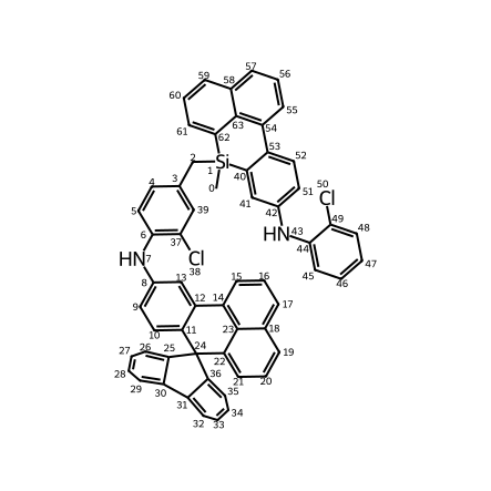 C[Si]1(Cc2ccc(Nc3ccc4c(c3)-c3cccc5cccc(c35)C43c4ccccc4-c4ccccc43)c(Cl)c2)c2cc(Nc3ccccc3Cl)ccc2-c2cccc3cccc1c23